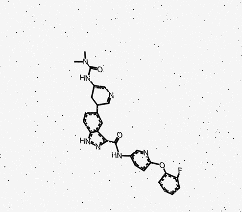 CN(C)C(=O)NC1=CN=CC(c2ccc3[nH]nc(C(=O)Nc4ccc(Oc5ccccc5F)nc4)c3c2)C1